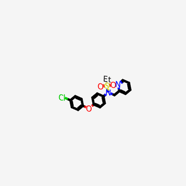 CCS(=O)(=O)N(Cc1ccccn1)c1ccc(Oc2ccc(Cl)cc2)cc1